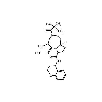 CC(C)(C(=O)N1CC[C@H]2CC[C@@H](C(=O)N[C@@H]3CCOc4ccccc43)N2C(=O)[C@@H](N)C1)C(F)(F)F.Cl